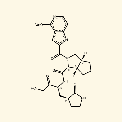 COc1nccc2[nH]c(C(=O)N3C[C@@H]4CCC[C@@H]4[C@H]3C(=O)N[C@@H](C[C@@H]3CCNC3=O)C(=O)CO)cc12